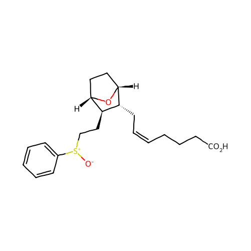 O=C(O)CCC/C=C\C[C@@H]1[C@@H](CC[S+]([O-])c2ccccc2)[C@@H]2CC[C@H]1O2